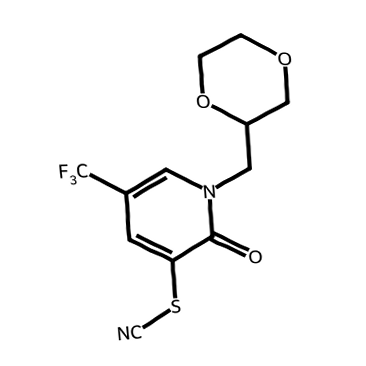 N#CSc1cc(C(F)(F)F)cn(CC2COCCO2)c1=O